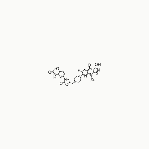 O=C1COc2ccc(N3CC(CN4CCN(c5nc6c(cc5F)c(=O)c5c(O)nsc5n6C5CC5)CC4)OC3=O)nc2N1